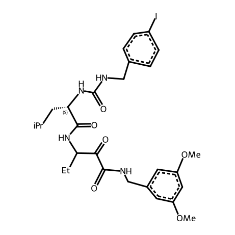 CCC(NC(=O)[C@H](CC(C)C)NC(=O)NCc1ccc(I)cc1)C(=O)C(=O)NCc1cc(OC)cc(OC)c1